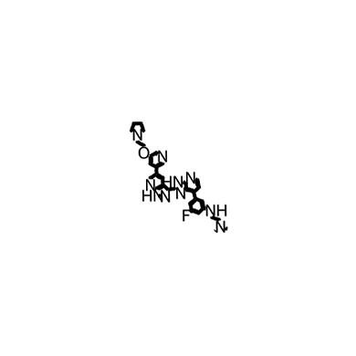 CN(C)CCNc1cc(F)cc(-c2ccnc3[nH]c(-c4n[nH]c5ncc(-c6cncc(OCCN7CCCC7)c6)cc45)nc23)c1